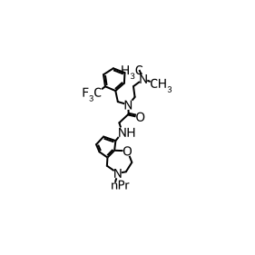 CCCN1CCOc2c(cccc2NCC(=O)N(CCN(C)C)Cc2ccccc2C(F)(F)F)C1